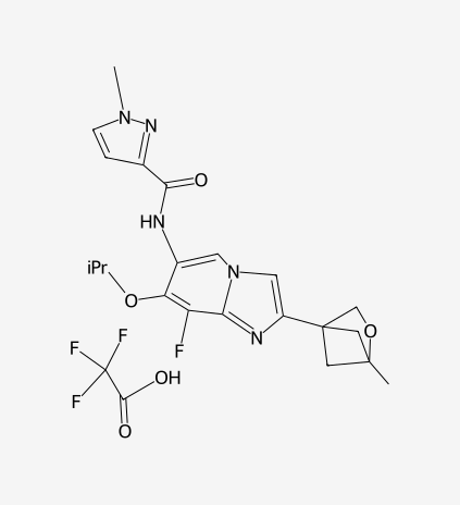 CC(C)Oc1c(NC(=O)c2ccn(C)n2)cn2cc(C34COC(C)(C3)C4)nc2c1F.O=C(O)C(F)(F)F